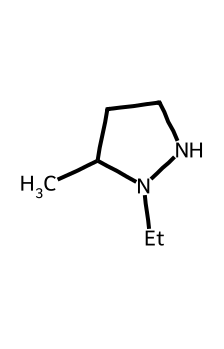 CCN1NCCC1C